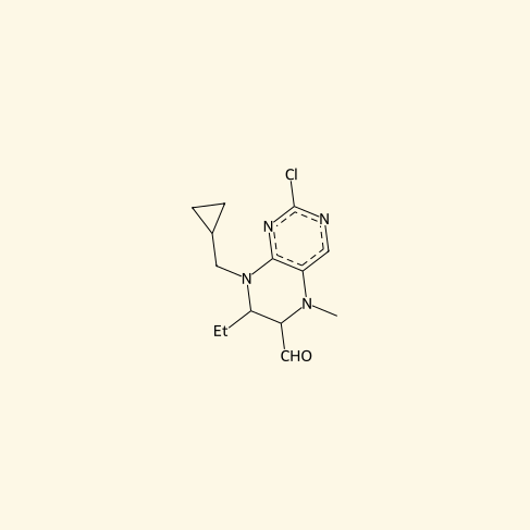 CCC1C(C=O)N(C)c2cnc(Cl)nc2N1CC1CC1